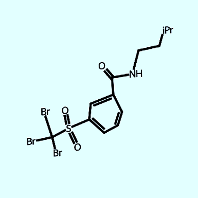 CC(C)CCNC(=O)c1cccc(S(=O)(=O)C(Br)(Br)Br)c1